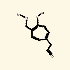 O=CCC1=CCC(OBr)=C(COBr)C=C1